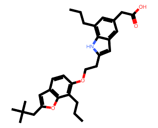 CCCc1cc(CC(=O)O)cc2cc(CCOc3ccc4cc(CC(C)(C)C)oc4c3CCC)[nH]c12